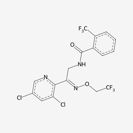 O=C(NC/C(=N\OCC(F)(F)F)c1ncc(Cl)cc1Cl)c1ccccc1C(F)(F)F